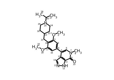 COc1cc(-c2cn(C)c(=O)c3[nH]ncc23)cc(OC)c1CC1CCN(C(C)C)CC1